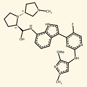 COc1nn(C)cc1Nc1ncc(F)c(-c2c[nH]c3c(NC(O)[C@H]4CCCN4[C@@H]4CCN(C)C4)cccc23)n1